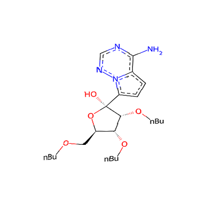 CCCCOC[C@H]1O[C@@](O)(c2ccc3c(N)ncnn23)[C@H](OCCCC)[C@@H]1OCCCC